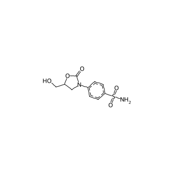 NS(=O)(=O)c1ccc(N2CC(CO)OC2=O)cc1